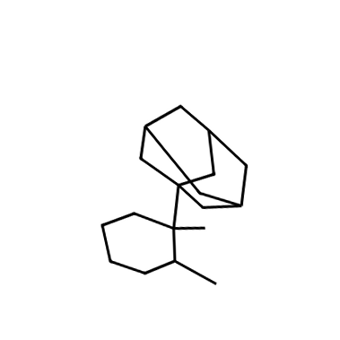 CC1CCCCC1(C)C12CC3CC(CC(C3)C1)C2